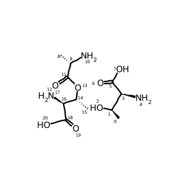 C[C@@H](O)[C@H](N)C(=O)O.C[C@H](N)C(=O)O[C@H](C)[C@H](N)C(=O)O